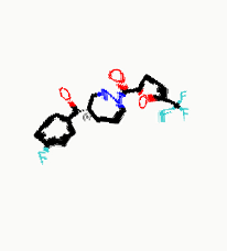 O=C(c1ccc(F)cc1)[C@H]1CCCN(C(=O)c2ccc(C(F)(F)F)o2)C1